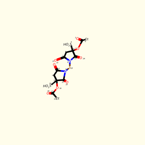 CCC(=O)OC1(S(=O)(=O)O)CC(=O)N(SN2C(=O)CC(OC(=O)CC)(S(=O)(=O)O)C2=O)C1=O